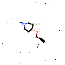 C#CCO[C@@H]1CCN(C)C[C@@H]1F